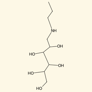 CCCNCC(O)C(O)C(O)C(O)CO